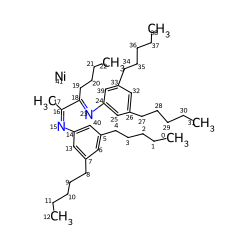 CCCCCc1cc(CCCCC)cc(N=C(C)C(CCCC)=Nc2cc(CCCCC)cc(CCCCC)c2)c1.[Ni]